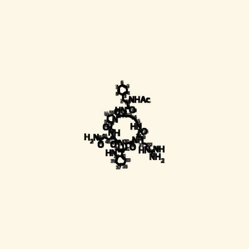 CC(=O)N[C@@H](Cc1ccccc1)C(=O)N[C@H]1CCCNC(=O)C(CCCNC(=N)N)NC(=O)C(Cc2c[nH]c3ccccc23)NC(=O)[C@@H](CCC(N)=O)NC(=O)C2CCCN2C1=O